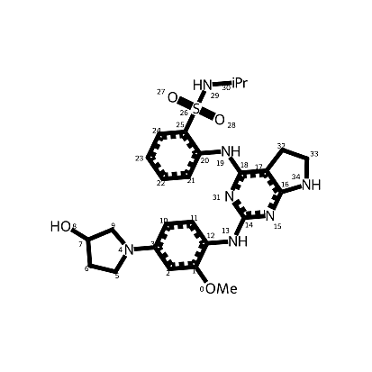 COc1cc(N2CCC(O)C2)ccc1Nc1nc2c(c(Nc3ccccc3S(=O)(=O)NC(C)C)n1)CCN2